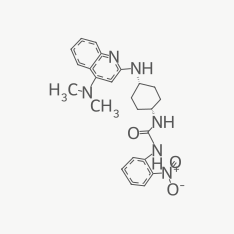 CN(C)c1cc(N[C@H]2CC[C@@H](NC(=O)Nc3ccccc3[N+](=O)[O-])CC2)nc2ccccc12